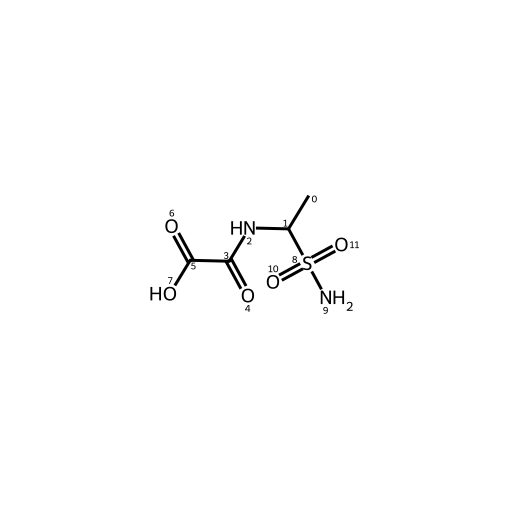 CC(NC(=O)C(=O)O)S(N)(=O)=O